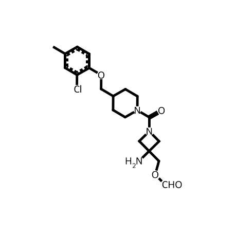 Cc1ccc(OCC2CCN(C(=O)N3CC(N)(COC=O)C3)CC2)c(Cl)c1